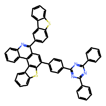 c1ccc(-c2nc(-c3ccccc3)nc(-c3ccc(-c4cc5c(-c6ccc7sc8ccccc8c7c6)nc6ccccc6c5c5c4sc4ccccc45)cc3)n2)cc1